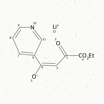 CCOC(=O)C(=O)/C=C(/[O-])c1cccnc1.[Li+]